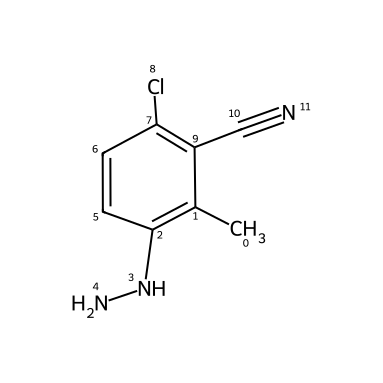 Cc1c(NN)ccc(Cl)c1C#N